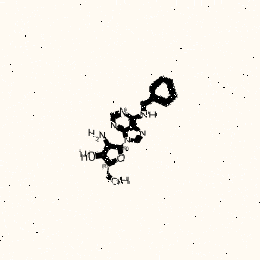 NC1C(O)[C@@H](CO)O[C@H]1n1cnc2c(NCc3ccccc3)ncnc21